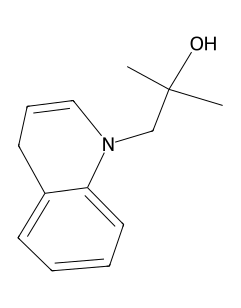 CC(C)(O)CN1C=CCc2ccccc21